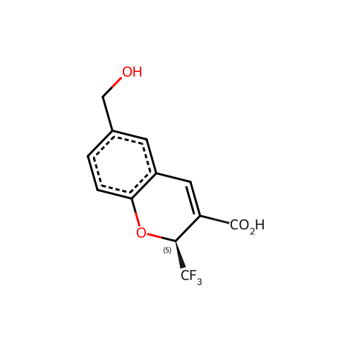 O=C(O)C1=Cc2cc(CO)ccc2O[C@@H]1C(F)(F)F